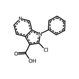 O=C(O)c1c(Cl)n(-c2ccccc2)c2cnccc12